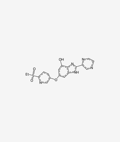 CCS(=O)(=O)c1ccc(Oc2cc(O)c3nc(-c4cnccn4)[nH]c3c2)cn1